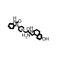 NC1(C(=O)CN2CCC(n3c(=O)[nH]c4ccccc43)CC2)CC2c3ccc(O)cc3CCC2N1